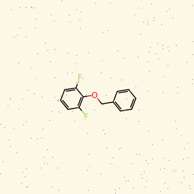 Fc1c[c]cc(F)c1OCc1ccccc1